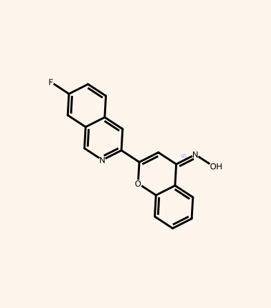 O/N=c1/cc(-c2cc3ccc(F)cc3cn2)oc2ccccc12